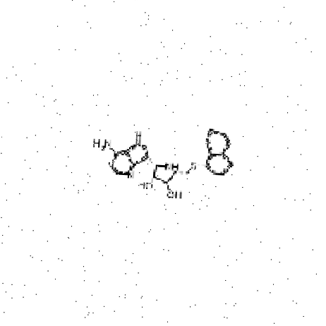 Nc1ncnc2c([C@@H]3N[C@H](CSc4cccc5ccccc45)C(O)[C@@H]3O)c[nH]c12